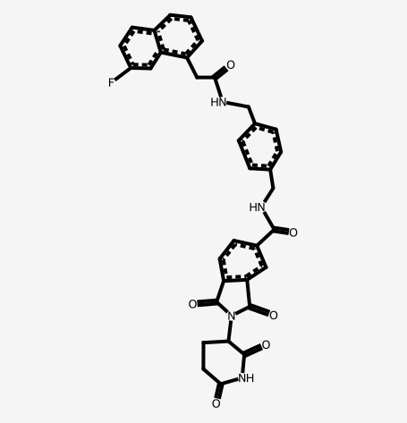 O=C(Cc1cccc2ccc(F)cc12)NCc1ccc(CNC(=O)c2ccc3c(c2)C(=O)N(C2CCC(=O)NC2=O)C3=O)cc1